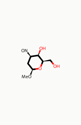 CO[C@H]1C[C@@H](N=O)[C@@H](O)[C@@H](CO)O1